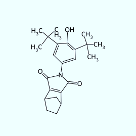 CC(C)(C)c1cc(N2C(=O)C3=C(C2=O)C2CCC3C2)cc(C(C)(C)C)c1O